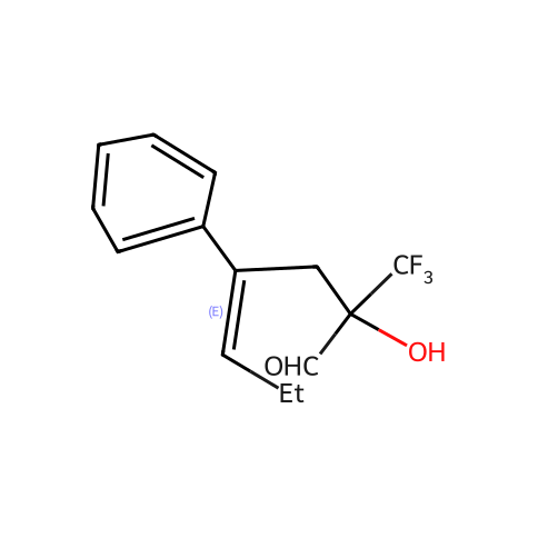 CC/C=C(\CC(O)(C=O)C(F)(F)F)c1ccccc1